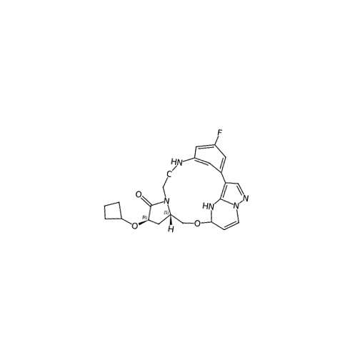 O=C1[C@H](OC2CCC2)C[C@H]2COC3C=Cn4ncc(c4N3)-c3cc(F)cc(c3)NCCN12